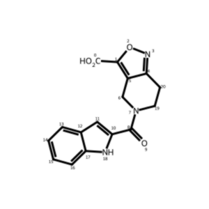 O=C(O)c1onc2c1CN(C(=O)c1cc3ccccc3[nH]1)CC2